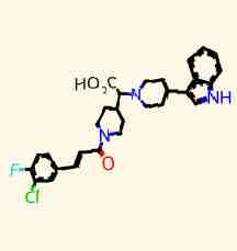 O=C(O)C(C1CCN(C(=O)/C=C/c2ccc(F)c(Cl)c2)CC1)N1CCC(c2c[nH]c3ccccc23)CC1